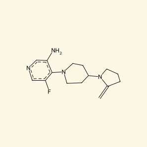 C=C1CCCN1C1CCN(c2c(N)cncc2F)CC1